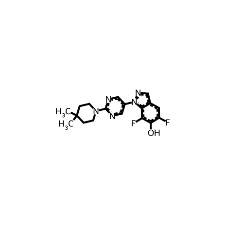 CC1(C)CCN(c2ncc(-n3ncc4cc(F)c(O)c(F)c43)cn2)CC1